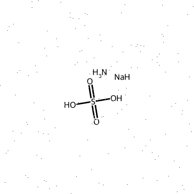 N.O=S(=O)(O)O.[NaH]